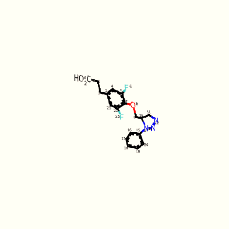 O=C(O)CCc1cc(F)c(OCC2CN=NN2c2ccccc2)c(F)c1